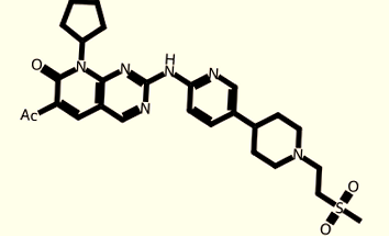 CC(=O)c1cc2cnc(Nc3ccc(C4CCN(CCS(C)(=O)=O)CC4)cn3)nc2n(C2CCCC2)c1=O